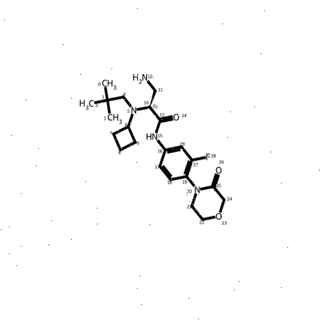 CC(C)(C)CN(C1CCC1)[C@@H](CN)C(=O)Nc1ccc(N2CCOCC2=O)c(F)c1